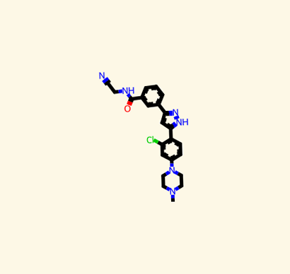 CN1CCN(c2ccc(-c3cc(-c4cccc(C(=O)NCC#N)c4)n[nH]3)c(Cl)c2)CC1